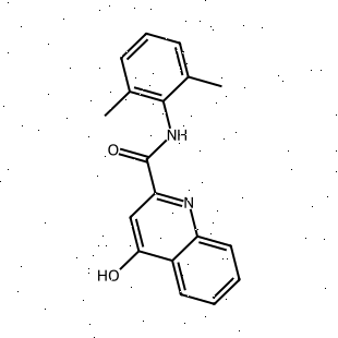 Cc1cccc(C)c1NC(=O)c1cc(O)c2ccccc2n1